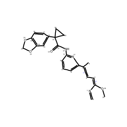 C=N/C(=C\C=C(/C)c1cccc(NC(=O)C2(c3ccc4c(c3)OCO4)CC2)n1)OC